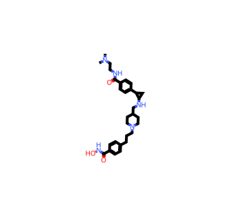 CN(C)CCNC(=O)c1ccc(C2CC2NCC2CCN(CCCc3ccc(C(=O)NO)cc3)CC2)cc1